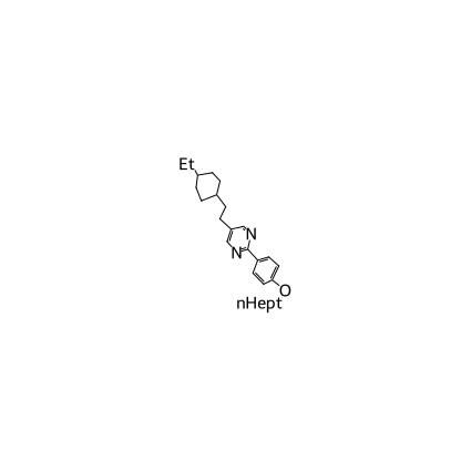 CCCCCCCOc1ccc(-c2ncc(CCC3CCC(CC)CC3)cn2)cc1